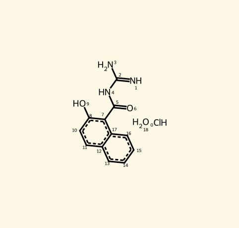 Cl.N=C(N)NC(=O)c1c(O)ccc2ccccc12.O